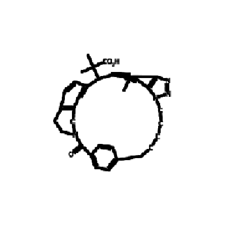 Cc1c2ccc3c1nnn3CCCCCc1ccc(cc1)C(=O)N1CCc3ccc(cc3C1)C2C(C)(C)C(=O)O